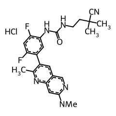 CNc1cc2nc(C)c(-c3cc(NC(=O)NCCC(C)(C)C#N)c(F)cc3F)cc2cn1.Cl